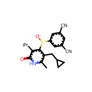 Cc1[nH]c(=O)c(C(C)C)c([S+]([O-])c2cc(C#N)cc(C#N)c2)c1CC1CC1